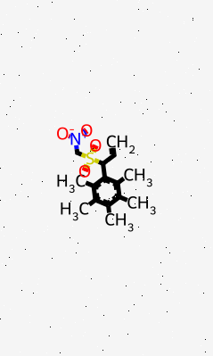 C=CC(c1c(C)c(C)c(C)c(C)c1C)S(=O)(=O)C[N+](=O)[O-]